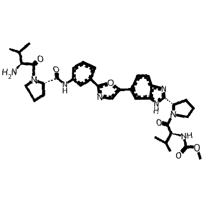 COC(=O)N[C@H](C(=O)N1CCC[C@H]1c1nc2ccc(-c3cnc(-c4cccc(NC(=O)[C@@H]5CCCN5C(=O)[C@@H](N)C(C)C)c4)o3)cc2[nH]1)C(C)C